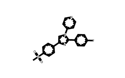 CS(=O)(=O)c1ccc(-c2cn(-c3ccncc3)c(-c3ccc(F)cc3)n2)cc1